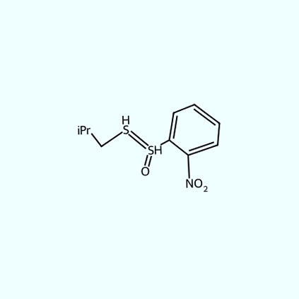 CC(C)C/[SH]=[SH](=O)/c1ccccc1[N+](=O)[O-]